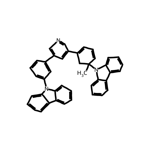 CC1(n2c3ccccc3c3ccccc32)C=CC=C(c2cncc(-c3cccc(-n4c5ccccc5c5ccccc54)c3)c2)C1